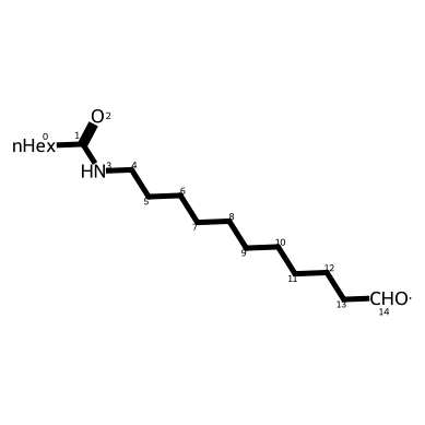 CCCCCCC(=O)NCCCCCCCCCC[C]=O